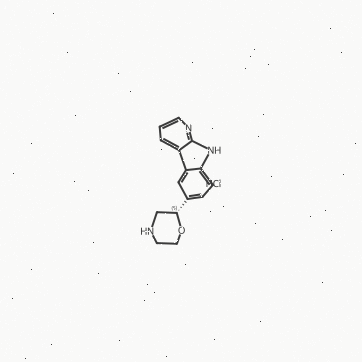 Cl.c1cnc2[nH]c3ccc([C@H]4CNCCO4)cc3c2c1